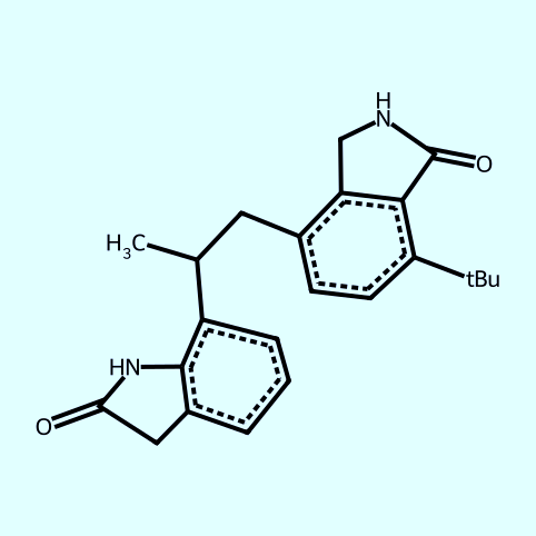 CC(Cc1ccc(C(C)(C)C)c2c1CNC2=O)c1cccc2c1NC(=O)C2